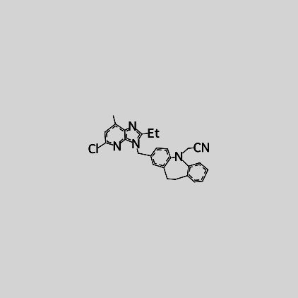 CCc1nc2c(C)cc(Cl)nc2n1Cc1ccc2c(c1)CCc1ccccc1N2CC#N